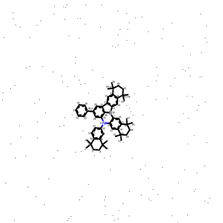 CC1(C)CCC(C)(C)c2cc(N3c4cc5c(cc4B4c6cc7c(cc6-c6cc(-c8ccccc8)cc3c64)C(C)(C)CCC7(C)C)C(C)(C)CCC5(C)C)ccc21